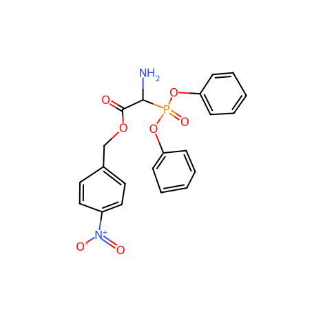 NC(C(=O)OCc1ccc([N+](=O)[O-])cc1)P(=O)(Oc1ccccc1)Oc1ccccc1